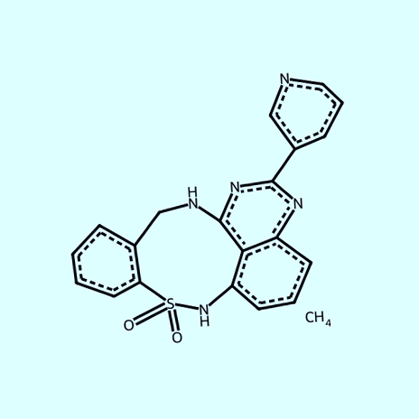 C.O=S1(=O)Nc2cccc3nc(-c4cccnc4)nc(c23)NCc2ccccc21